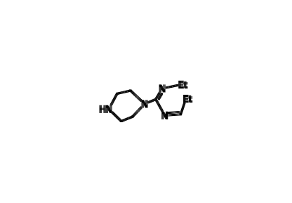 CC/C=N\C(=N/CC)N1CCNCC1